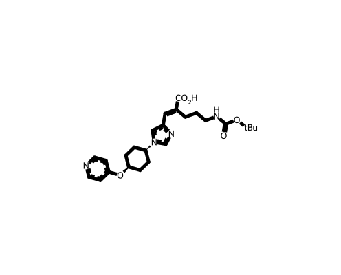 CC(C)(C)OC(=O)NCCC/C(=C\c1cn([C@H]2CC[C@H](Oc3ccncc3)CC2)cn1)C(=O)O